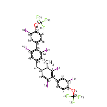 CC1C(I)=C(c2ccc(OC(F)(F)F)c(I)c2)C(I)=CC1Cc1cc(I)c(-c2ccc(OC(F)(F)F)c(I)c2)c(I)c1